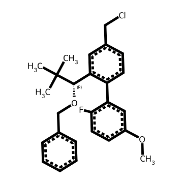 COc1ccc(F)c(-c2ccc(CCl)cc2[C@H](OCc2ccccc2)C(C)(C)C)c1